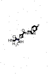 CN/C(=C(/Cl)C=N)N1CC(C(=O)NCc2cnc3cc(F)ccn23)C1